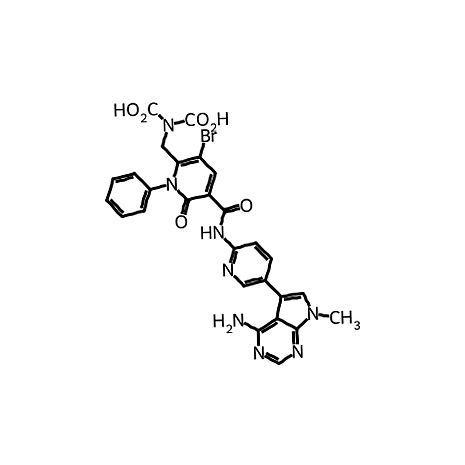 Cn1cc(-c2ccc(NC(=O)c3cc(Br)c(CN(C(=O)O)C(=O)O)n(-c4ccccc4)c3=O)nc2)c2c(N)ncnc21